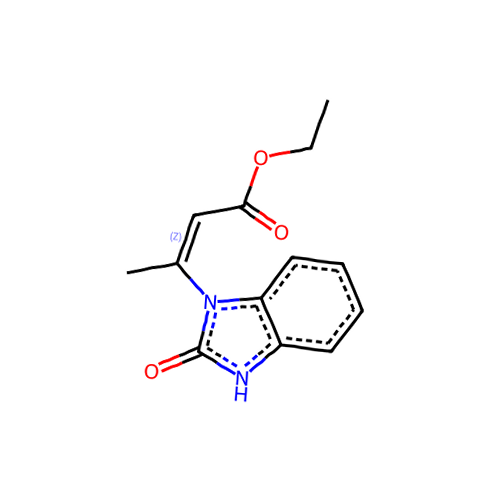 CCOC(=O)/C=C(/C)n1c(=O)[nH]c2ccccc21